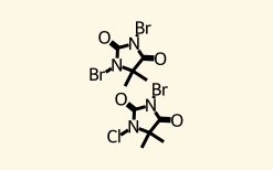 CC1(C)C(=O)N(Br)C(=O)N1Br.CC1(C)C(=O)N(Br)C(=O)N1Cl